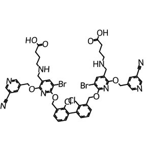 N#Cc1cncc(COc2nc(OCc3cccc(-c4cccc(COc5nc(OCc6cncc(C#N)c6)c(CNCCCC(=O)O)cc5Br)c4Cl)c3Cl)c(Br)cc2CNCCCC(=O)O)c1